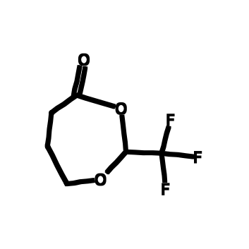 O=C1CCCOC(C(F)(F)F)O1